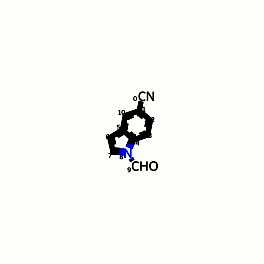 N#Cc1ccc2c(ccn2C=O)c1